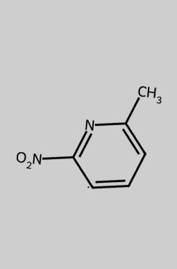 Cc1cc[c]c([N+](=O)[O-])n1